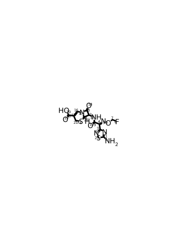 Nc1nc(C(=NOCF)C(=O)NC2C(=O)N3C=C(C(=O)O)CS[C@H]23)ns1